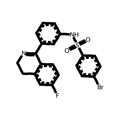 O=S(=O)(Nc1cccc(C2=NCCc3cc(F)ccc32)c1)c1ccc(Br)cc1